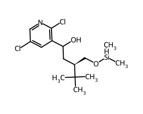 C[SiH](C)OC[C@H](CC(O)c1cc(Cl)cnc1Cl)C(C)(C)C